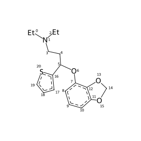 CCN(CC)CCC(Oc1cccc2c1OCO2)c1cccs1